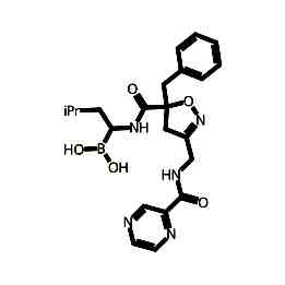 CC(C)CC(NC(=O)C1(Cc2ccccc2)CC(CNC(=O)c2cnccn2)=NO1)B(O)O